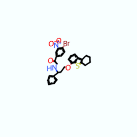 O=C(CNC(CCOc1cccc2c3c(sc12)CCCC3)c1ccccc1)c1ccc(Br)c([N+](=O)[O-])c1